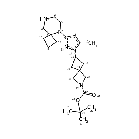 Cc1cc(N2CCNCC23CCC3)nn1C1CC2(C1)CN(C(=O)OC(C)(C)C)C2